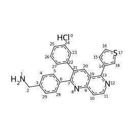 Cl.NCc1ccc(-c2nc3ccnc(-c4ccsc4)c3cc2-c2ccccc2)cc1